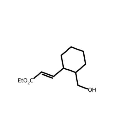 CCOC(=O)C=CC1CCCCC1CO